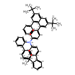 CC(C)(C)c1cc(-c2ccccc2)c2c(-c3ccc(N(c4ccc5c(c4)C(C)(C)c4ccccc4-5)c4ccccc4-c4ccccc4)cc3)cc(C(C)(C)C)cc2c1